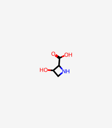 O=C(O)C1NCC1O